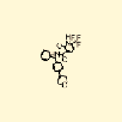 O=C(NC(c1ccccc1)c1ccc(C2=CCOCC2)cc1)c1ccc(C(F)(F)F)[nH]c1=O